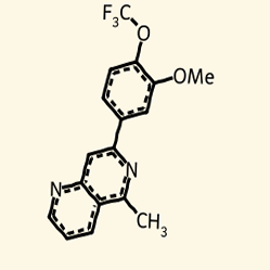 COc1cc(-c2cc3ncccc3c(C)n2)ccc1OC(F)(F)F